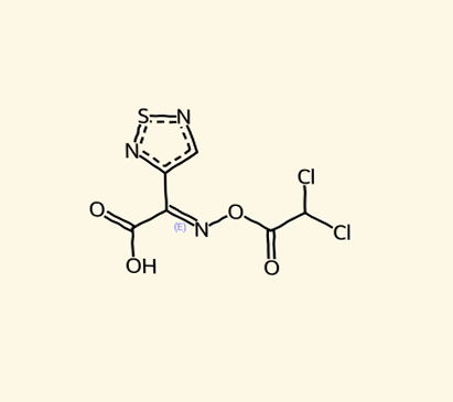 O=C(O)/C(=N/OC(=O)C(Cl)Cl)c1cnsn1